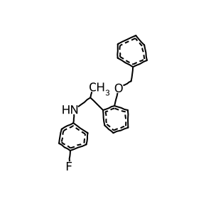 CC(Nc1ccc(F)cc1)c1ccccc1OCc1ccccc1